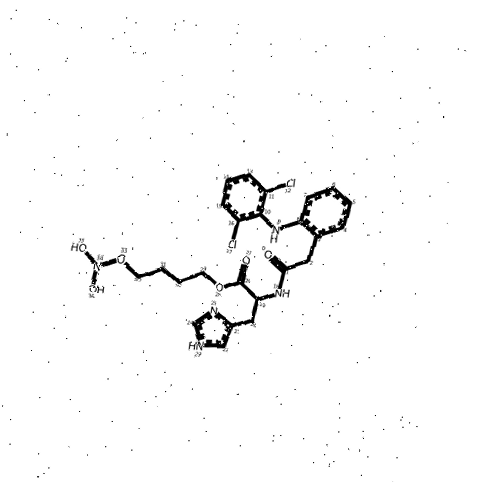 O=C(Cc1ccccc1Nc1c(Cl)cccc1Cl)NC(Cc1c[nH]cn1)C(=O)OCCCCON(O)O